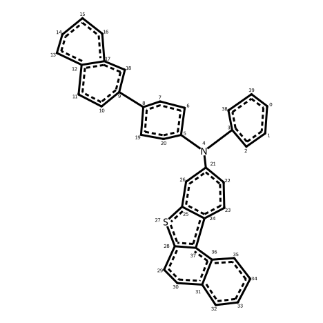 c1ccc(N(c2ccc(-c3ccc4ccccc4c3)cc2)c2ccc3c(c2)sc2ccc4ccccc4c23)cc1